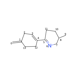 C=C1CC=C(C2=NCC(C)CC2)CC1